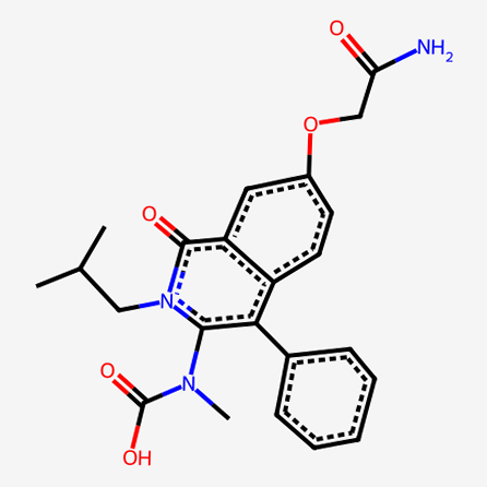 CC(C)Cn1c(N(C)C(=O)O)c(-c2ccccc2)c2ccc(OCC(N)=O)cc2c1=O